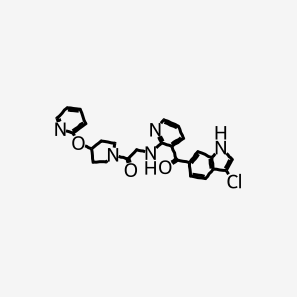 O=C(c1ccc2c(Cl)c[nH]c2c1)c1cccnc1NCC(=O)N1CCC(Oc2ccccn2)CC1